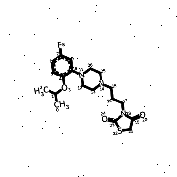 CC(C)Oc1ccc(F)cc1N1CCN(CCCN2C(=O)CSC2=O)CC1